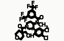 CN(C(=O)c1cc(C(F)(F)F)cc(C(F)(F)F)c1)[C@@H]1CCN(C(=O)C2(CO)CCOCC2)C[C@H]1c1ccc(Cl)c(Cl)c1